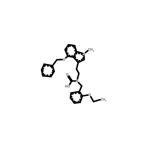 CCOc1ccccc1CN(CCc1cn(C)c2cccc(OCc3ccccc3)c12)C(=O)O